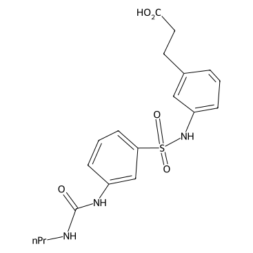 CCCNC(=O)Nc1cccc(S(=O)(=O)Nc2cccc(CCC(=O)O)c2)c1